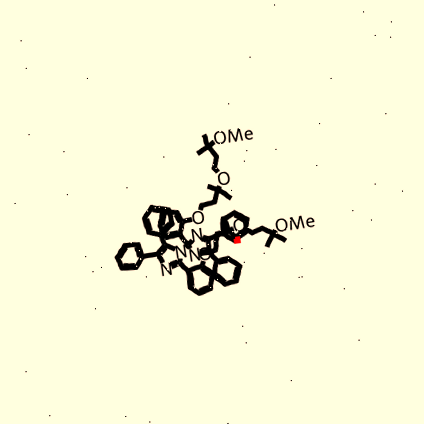 COC(C)(C)CCOC(C)(C)CCOc1ccccc1-c1nc(-c2ccccc2)c(-c2ccccc2)n1C1(c2ccccc2OCCC(C)(C)OCCC(C)(C)OC)N=C(c2ccccc2)C(c2ccccc2)=N1